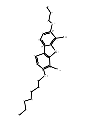 CCCCCCCOc1ccc2c(sc3c(F)c(SCCC)ccc32)c1F